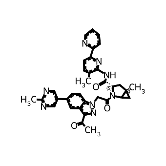 CC(=O)c1nn(CC(=O)N2C3C[C@]3(C)C[C@H]2C(=O)Nc2nc(-c3ccccn3)ccc2C)c2ccc(-c3cnc(C)nc3)cc12